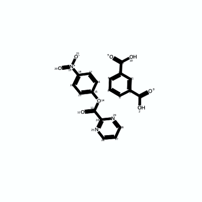 O=C(O)c1cccc(C(=O)O)c1.O=C(Oc1ccc([N+](=O)[O-])cc1)c1ncccn1